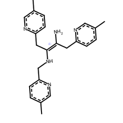 Cc1ccc(CN/C(Cc2ccc(C)cn2)=C(/N)Cc2ccc(C)cn2)nc1